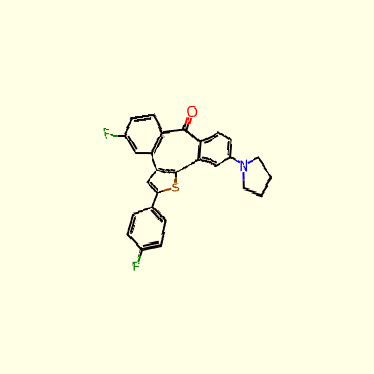 O=c1c2ccc(F)cc2c2cc(-c3ccc(F)cc3)sc2c2cc(N3CCCC3)ccc12